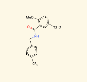 COc1ccc(C=O)cc1C(=O)NCc1ccc(C(F)(F)F)cc1